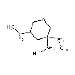 C[SiH2]C1COCC([SiH2]C)([SiH2]C)C1